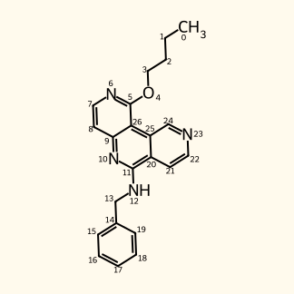 CCCCOc1nccc2nc(NCc3ccccc3)c3ccncc3c12